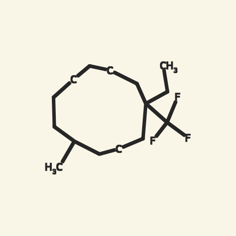 CCC1(C(F)(F)F)CCCCCCC(C)CCC1